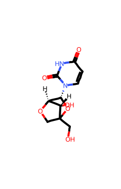 O=c1ccn([C@@H]2OC3(CO)CO[C@@H]2[C@@H]3O)c(=O)[nH]1